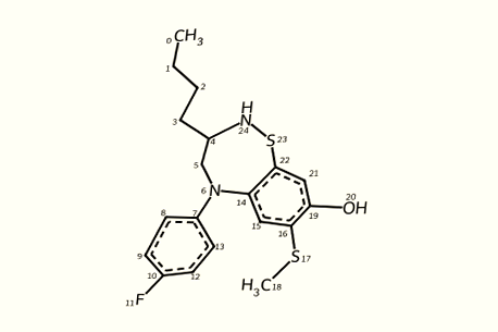 CCCCC1CN(c2ccc(F)cc2)c2cc(SC)c(O)cc2SN1